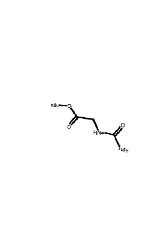 CCCCOC(=O)CNC(=O)CCC